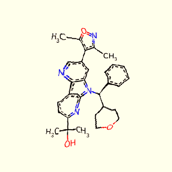 Cc1noc(C)c1-c1cnc2c3ccc(C(C)(C)O)nc3n([C@@H](c3ccccc3)C3CCOCC3)c2c1